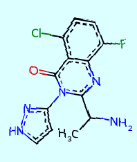 CC(N)c1nc2c(F)ccc(Cl)c2c(=O)n1-c1cc[nH]n1